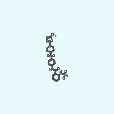 CN(c1ccccc1C(=O)Nc1ccc(S(=O)(=O)N2CCN(c3nnc(C(F)(F)F)s3)CC2)cc1)S(C)(=O)=O